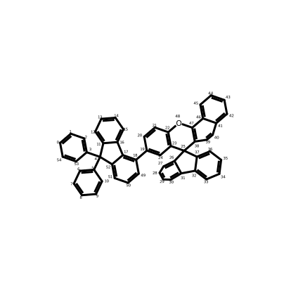 c1ccc(C2(c3ccccc3)c3ccccc3-c3c(-c4ccc5c(c4)C4(c6ccccc6-c6ccccc64)c4ccc6ccccc6c4O5)cccc32)cc1